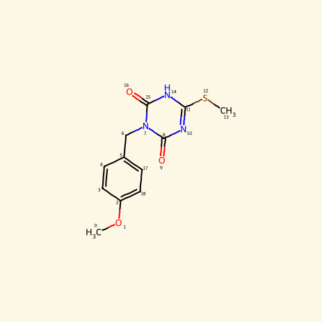 COc1ccc(Cn2c(=O)nc(SC)[nH]c2=O)cc1